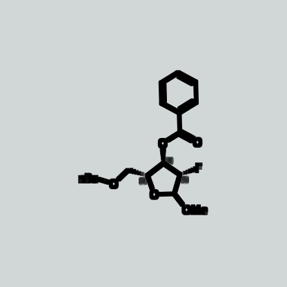 CCCCOC[C@H]1OC(OC)[C@@H](F)[C@@H]1OC(=O)c1ccccc1